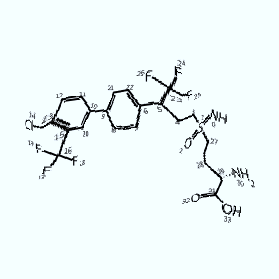 N=S(=O)(CCC(c1ccc(-c2ccc(Cl)c(C(F)(F)F)c2)cc1)C(F)(F)F)CC[C@H](N)C(=O)O